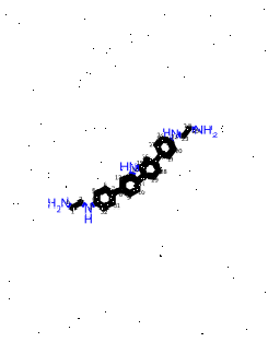 NCCNc1ccc(-c2ccc3c(c2)[nH]c2cc(-c4ccc(NCCN)cc4)ccc23)cc1